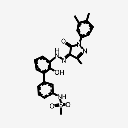 CC1=NN(c2ccc(C)c(C)c2)C(=O)/C1=N\Nc1cccc(-c2cccc(NS(C)(=O)=O)c2)c1O